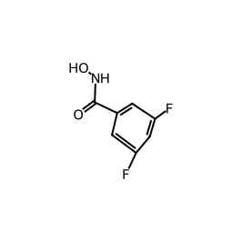 O=C(NO)c1cc(F)cc(F)c1